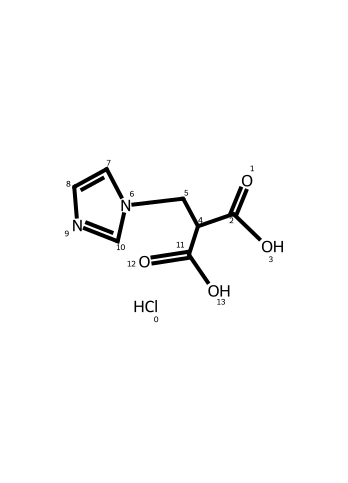 Cl.O=C(O)C(Cn1ccnc1)C(=O)O